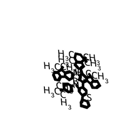 CC(C)(C)c1ccc(N2B3c4cc5c(cc4-n4c6cc7c(cc6c6c8c(c(c3c64)-c3cc4sc6ccccc6c4cc32)-c2ccccc2C8(C)C)C(C)(C)CCC7(C)C)C(C)(C)c2ccccc2-5)cc1